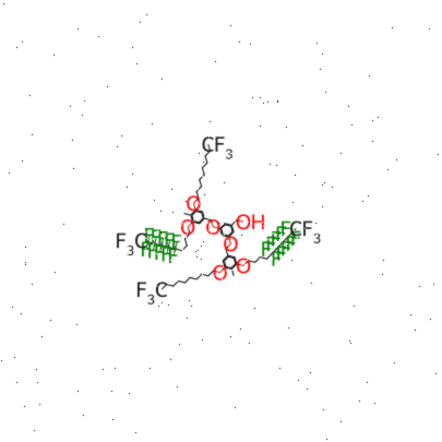 Cc1c(OCCCCCCCCCC(F)(F)F)cc(COc2cc(CO)cc(OCc3cc(OCCCCCCCCCC(F)(F)F)c(C)c(OCCCCC(F)(F)C(F)(F)C(F)(F)C(F)(F)C(F)(F)C(F)(F)F)c3)c2)cc1OCCCCC(F)(F)C(F)(F)C(F)(F)C(F)(F)C(F)(F)C(F)(F)F